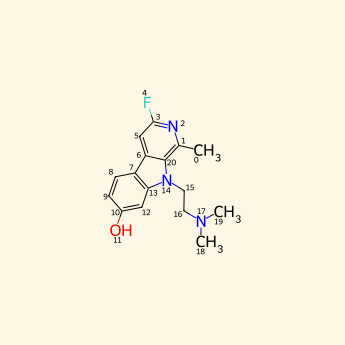 Cc1nc(F)cc2c3ccc(O)cc3n(CCN(C)C)c12